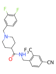 N#Cc1ccc(CNC(=O)C2CCN(Cc3ccc(F)c(F)c3)CC2)c(C(F)(F)F)c1